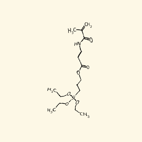 C=C(C)C(=O)NCCC(=O)OCCC[Si](OCC)(OCC)OCC